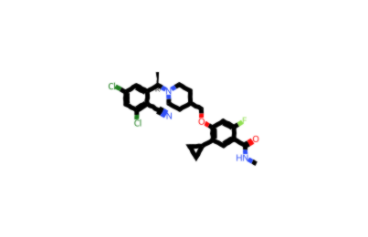 CNC(=O)c1cc(C2CC2)c(OCC2CCN([C@H](C)c3cc(Cl)cc(Cl)c3C#N)CC2)cc1F